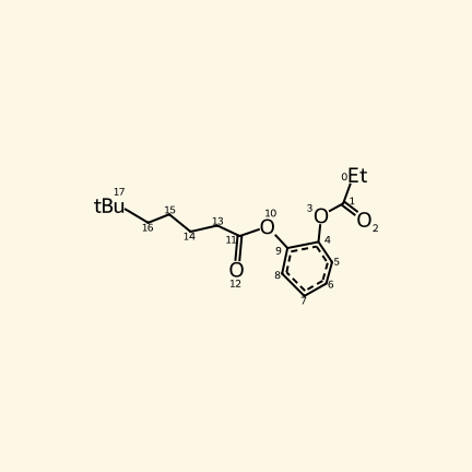 CCC(=O)Oc1ccccc1OC(=O)CCCCC(C)(C)C